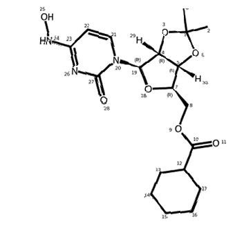 CC1(C)O[C@@H]2[C@H](O1)[C@@H](COC(=O)C1CCCCC1)O[C@H]2n1ccc(NO)nc1=O